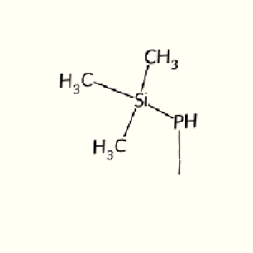 C[Si](C)(C)PI